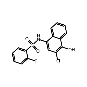 O=S(=O)(Nc1cc(Cl)c(O)c2ccccc12)c1ccccc1F